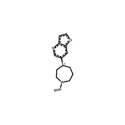 CNN1CCC[C@H](c2cnc3ccoc3c2)CC1